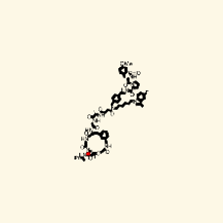 COc1ccc(C[C@H](NC=O)C(=O)N2CCC[C@H]2C(=O)NCCc2ccc(CN(CCCCCCn3cc(C)c4cc(F)ccc43)C(=O)CCC(=O)N[C@@H](C)C(=O)NCC(=O)N[C@H]3Cc4cccc(c4)CNC(=O)CO[C@H]4CCN(C(=O)CNC3=O)N4C(=O)NC(C)C(C)C)cc2)cc1